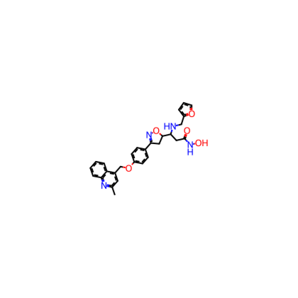 Cc1cc(COc2ccc(C3=NOC(C(CC(=O)NO)NCc4ccco4)C3)cc2)c2ccccc2n1